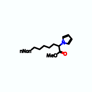 CCCCCCCCCCCCCCC(C(=O)OC)n1cccc1